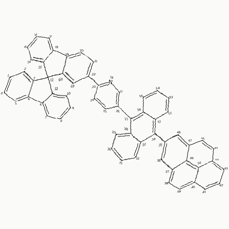 c1ccc2c(c1)-c1ccccc1C21c2ccccc2-c2ccc(-c3ccc(-c4c5ccccc5c(-c5cc6ccc7cccc8ccc(c5)c6c78)c5ccccc45)cn3)cc21